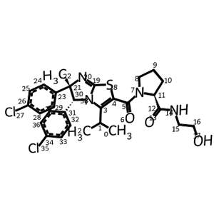 CC(C)C1=C(C(=O)N2CCC[C@H]2C(=O)NCCO)SC2=N[C@@](C)(c3ccc(Cl)cc3)[C@@H](c3ccc(Cl)cc3)N21